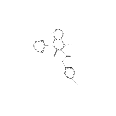 O=C(Cc1ccc([N+](=O)[O-])cc1)c1c(O)c2cccnc2n(-c2ccccc2)c1=O